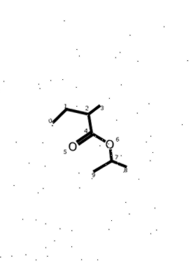 [CH2]CC(C)C(=O)OC(C)C